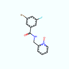 O=C(NCc1cccc[n+]1[O-])c1cc(F)cc(Br)c1